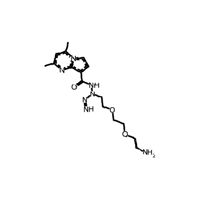 Cc1cc(C)n2ccc(C(=O)NN(CCOCCOCCN)N=N)c2n1